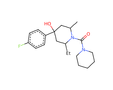 CCC1CC(O)(c2ccc(F)cc2)CC(C)N1C(=O)N1CCCCC1